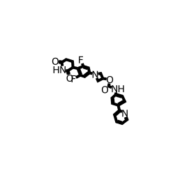 O=C1CCC(c2c(F)cc(N3CC(OC(=O)Nc4ccc(-c5ccccn5)cc4)C3)cc2F)C(=O)N1